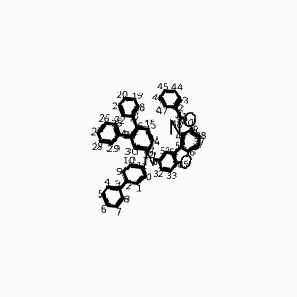 C1=CC(c2ccccc2)CC=C1N(c1ccc(-c2ccccc2)c(-c2ccccc2)c1)c1ccc2oc3ccc4oc(-c5ccccc5)nc4c3c2c1